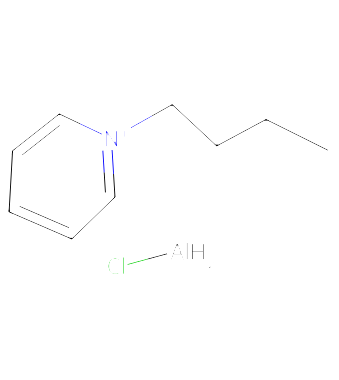 CCCC[n+]1ccccc1.[AlH2][Cl]